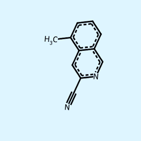 Cc1cccc2cnc(C#N)cc12